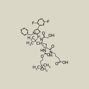 CC(C)(C)[C@H](c1cc(-c2cc(F)ccc2F)cn1Cc1ccccc1)N(CC[C@H](NC(=O)OCCS(C)(C)C)C(=O)NCCCC(=O)O)C(=O)CO